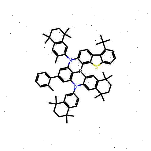 Cc1ccccc1-c1cc2c3c(c1)N(c1cc4c(cc1C)C(C)(C)CCC4(C)C)c1ccc4c(sc5cccc(C(C)(C)C)c54)c1B3c1cc3c(cc1N2c1ccc2c(c1)C(C)(C)CCC2(C)C)C(C)(C)CCC3(C)C